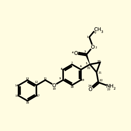 CCOC(=O)[C@@]1(c2ccc(OCc3ccccc3)cc2)CC1C(N)=O